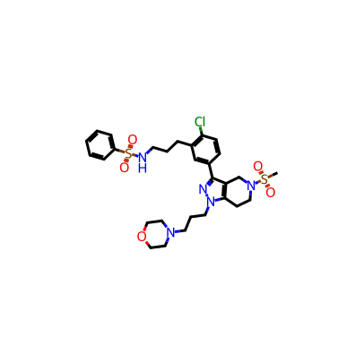 CS(=O)(=O)N1CCc2c(c(-c3ccc(Cl)c(CCCNS(=O)(=O)c4ccccc4)c3)nn2CCCN2CCOCC2)C1